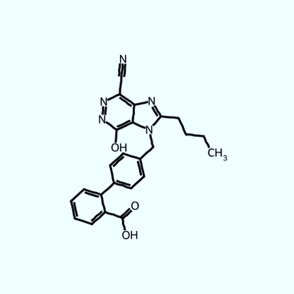 CCCCc1nc2c(C#N)nnc(O)c2n1Cc1ccc(-c2ccccc2C(=O)O)cc1